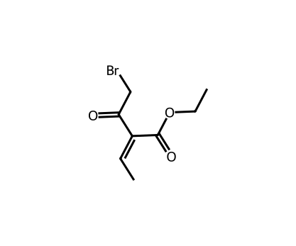 CC=C(C(=O)CBr)C(=O)OCC